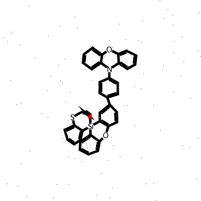 c1ccc2c(c1)Oc1ccccc1N2c1ccc(-c2ccc3c(c2)[Si]2(c4ccccc4O3)c3ccccc3Sc3ccccc32)cc1